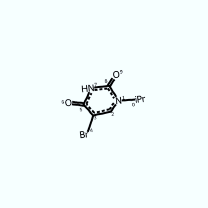 CC(C)n1cc(Br)c(=O)[nH]c1=O